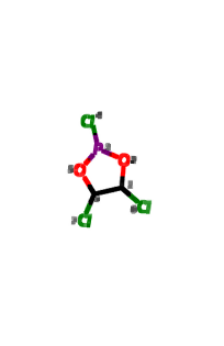 ClC1OP(Cl)OC1Cl